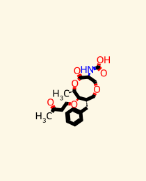 CC(=O)CCO[C@@H]1[C@@H](Cc2ccccc2)COC[C@H](NC(=O)O)C(=O)O[C@H]1C